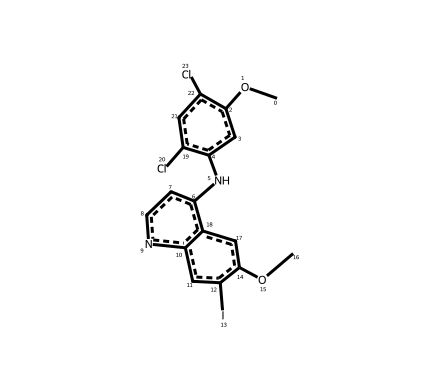 COc1cc(Nc2ccnc3cc(I)c(OC)cc23)c(Cl)cc1Cl